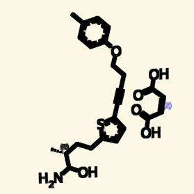 Cc1ccc(OCCC#Cc2ccc(CC[C@@H](C)C(N)O)s2)cc1.O=C(O)/C=C\C(=O)O